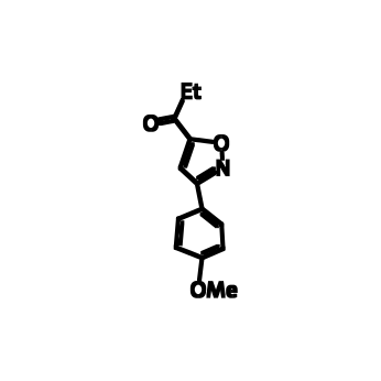 CCC(=O)c1cc(-c2ccc(OC)cc2)no1